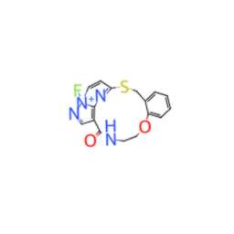 O=C1NCCOc2ccccc2CSC2=NC3=C1C=N[N+]3(F)C=C2